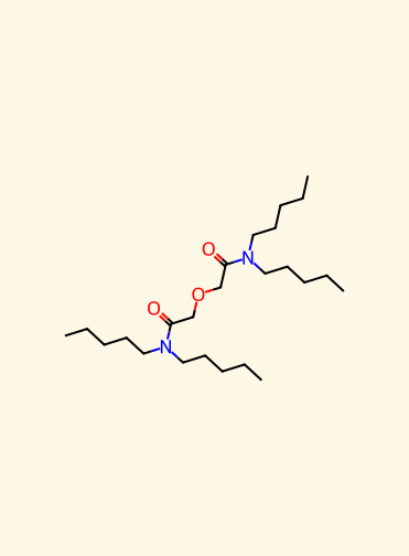 CCCCCN(CCCCC)C(=O)COCC(=O)N(CCCCC)CCCCC